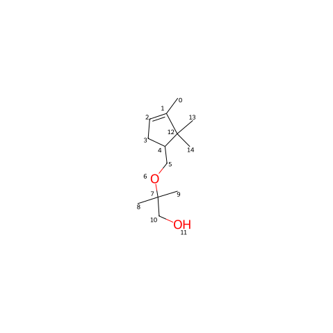 CC1=CCC(COC(C)(C)CO)C1(C)C